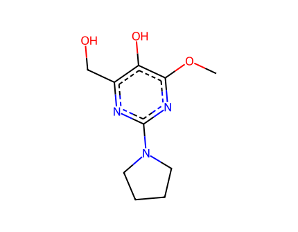 COc1nc(N2CCCC2)nc(CO)c1O